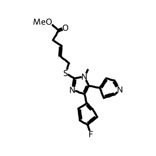 COC(=O)C/C=C/CSc1nc(-c2ccc(F)cc2)c(-c2ccncc2)n1C